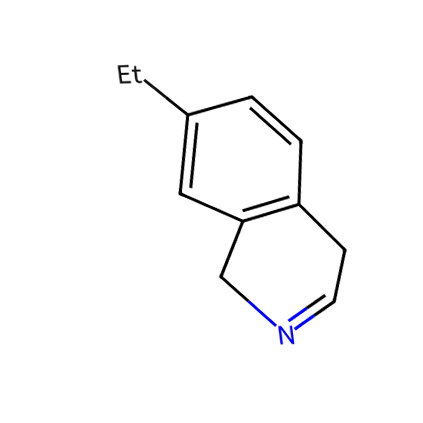 CCc1ccc2c(c1)CN=CC2